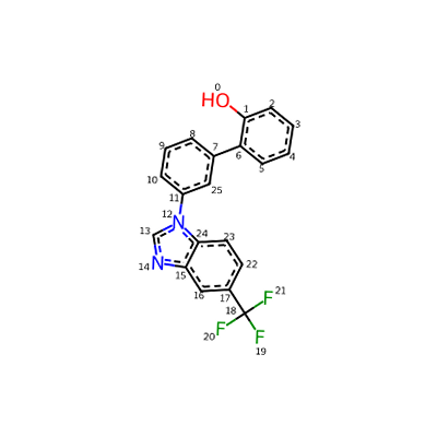 Oc1ccccc1-c1cccc(-n2cnc3cc(C(F)(F)F)ccc32)c1